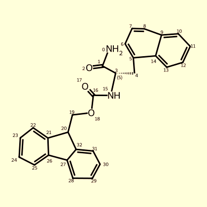 NC(=O)[C@H](Cc1cccc2ccccc12)NC(=O)OCC1c2ccccc2-c2ccccc21